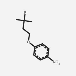 CC(C)(F)CCOc1ccc([N+](=O)[O-])cc1